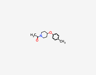 CC(=O)N1CCC(Oc2ccc(C)cc2)CC1